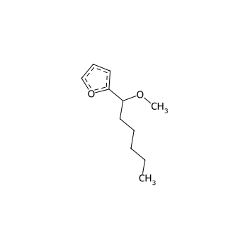 CCCCCC(OC)c1ccco1